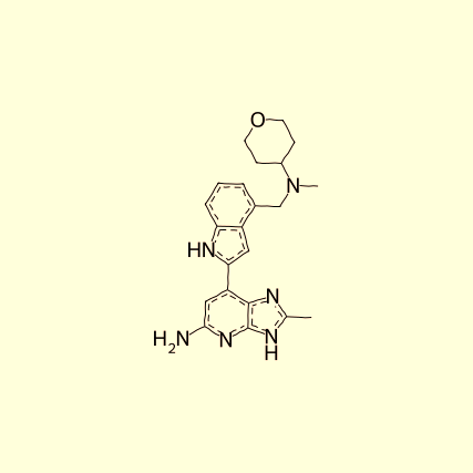 Cc1nc2c(-c3cc4c(CN(C)C5CCOCC5)cccc4[nH]3)cc(N)nc2[nH]1